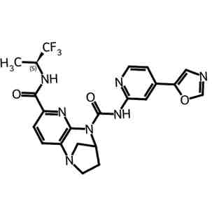 C[C@H](NC(=O)c1ccc2c(n1)N(C(=O)Nc1cc(-c3cnco3)ccn1)C1CCN2C1)C(F)(F)F